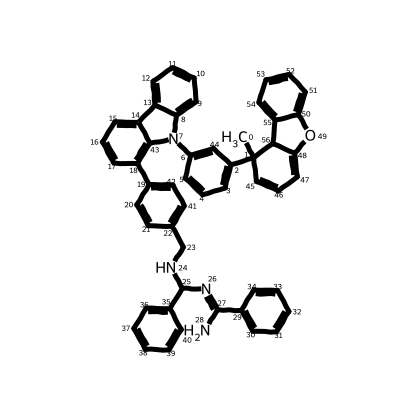 CC1(c2cccc(-n3c4ccccc4c4cccc(-c5ccc(CNC(/N=C(\N)c6ccccc6)c6ccccc6)cc5)c43)c2)C=CC=C2Oc3ccccc3C21